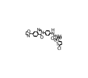 O=C(Nc1ccc(-n2cnc3cc(C4=NCCO4)ccc3c2=O)cc1)NS(=O)(=O)c1ccc(Cl)s1